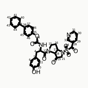 O=C(NC(Cc1ccc(O)cc1)C(=O)N1CCC2C1C(=O)CN2S(=O)(=O)C(=O)c1cccnc1)Oc1ccc(-c2ccccc2)cc1